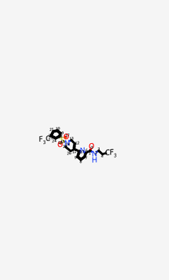 O=C(NCCC(F)(F)F)c1cccc(C2=CCN(S(=O)(=O)c3cccc(C(F)(F)F)c3)CC2)n1